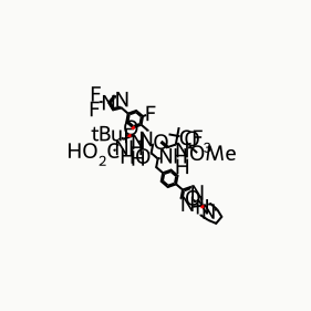 COC(=O)NC(C(=O)NC(Cc1ccc(-c2cnc(N3CC4CCC(C3)N4C3COC3)nc2)cc1)C(O)CN(Cc1c(F)cc(-c2cn(C(F)F)cn2)cc1F)NC(=O)C(NC(=O)O)C(C)(C)C)C(C)(C)C(F)(F)F